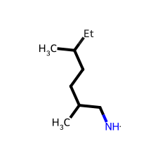 [CH2]CC(C)CCC(C)C[NH]